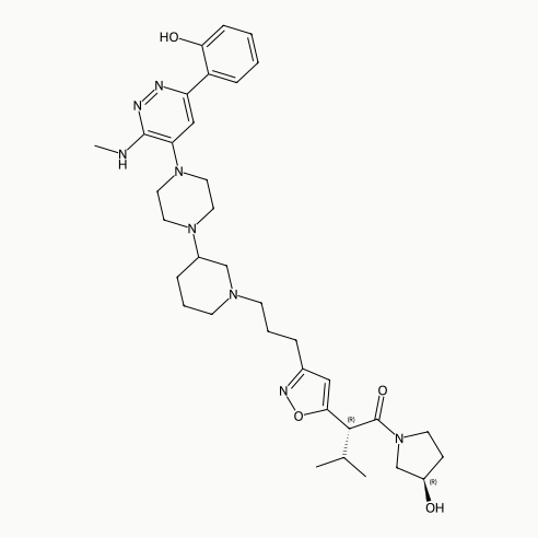 CNc1nnc(-c2ccccc2O)cc1N1CCN(C2CCCN(CCCc3cc([C@H](C(=O)N4CC[C@@H](O)C4)C(C)C)on3)C2)CC1